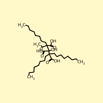 CCCCCCCCC(CCCCCCCC)(C(=O)O)C(O)(C(=O)O)C(CCCCCCCC)(C(C)=O)C(=O)O